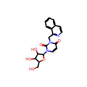 O=c1ccn(C2OC(CO)C(O)C2O)c(=O)n1Cc1nccc2ccccc12